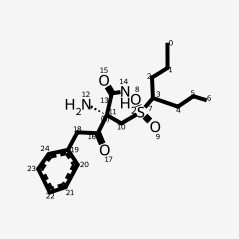 CCCC(CCC)S(=O)(=O)C[C@](N)(C(N)=O)C(=O)Cc1ccccc1